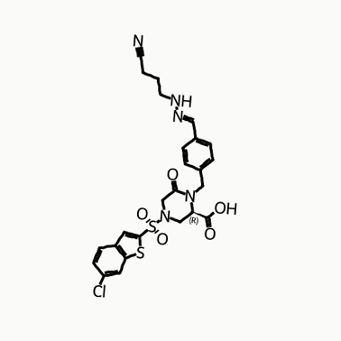 N#CCCCNN=Cc1ccc(CN2C(=O)CN(S(=O)(=O)c3cc4ccc(Cl)cc4s3)C[C@@H]2C(=O)O)cc1